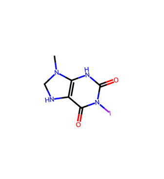 CN1CNc2c1[nH]c(=O)n(I)c2=O